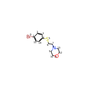 Brc1ccc(SCCN2CCOCC2)cc1